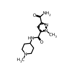 CN1CCC(NC(=O)c2[c]c(C(N)=O)nn2C)CC1